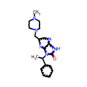 CC(c1ccccc1)n1c(=O)[nH]c2ncc(CN3CCN(C)CC3)nc21